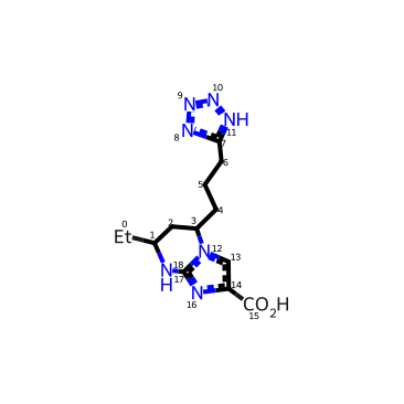 CCC1CC(CCCc2nnn[nH]2)n2cc(C(=O)O)nc2N1